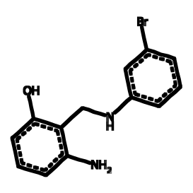 Nc1cccc(O)c1CNc1cccc(Br)c1